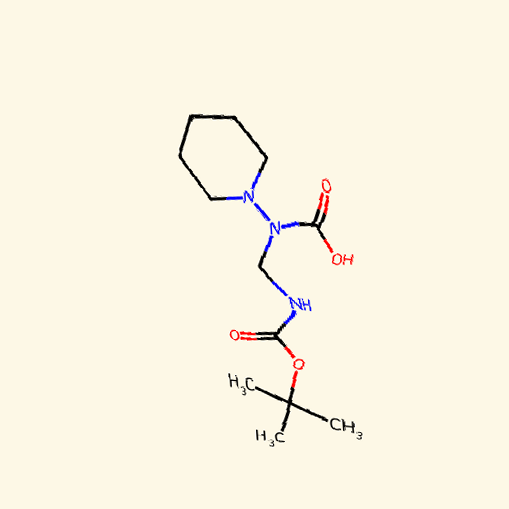 CC(C)(C)OC(=O)NCN(C(=O)O)N1CCCCC1